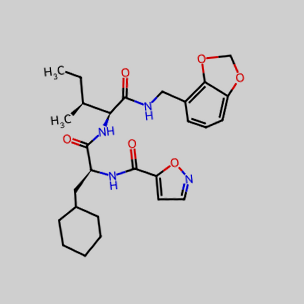 CC[C@H](C)[C@H](NC(=O)[C@H](CC1CCCCC1)NC(=O)c1ccno1)C(=O)NCc1cccc2c1OCO2